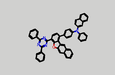 c1ccc(-c2nc(-c3ccccc3)nc(-c3ccc(-c4ccc(N(c5ccccc5)c5ccc6ccccc6c5)cc4)c4c3oc3cc5ccccc5cc34)n2)cc1